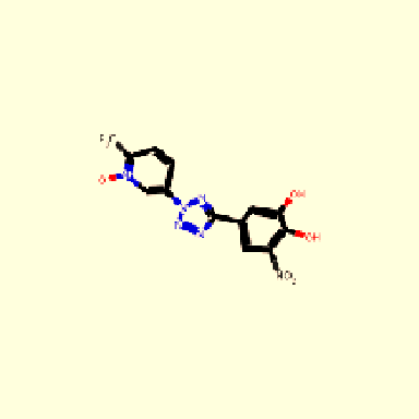 O=[N+]([O-])c1cc(-c2nnn(-c3ccc(C(F)(F)F)[n+]([O-])c3)n2)cc(O)c1O